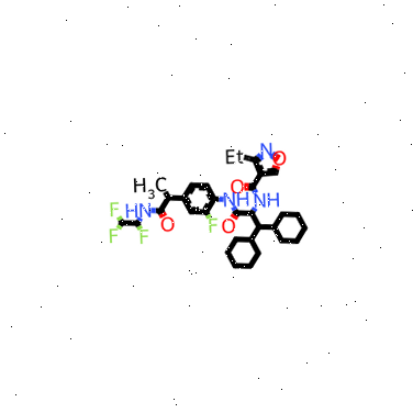 CCc1nocc1C(=O)NC(C(=O)Nc1ccc(C(C)C(=O)NC(F)C(F)F)cc1F)C(C1CCCCC1)C1CCCCC1